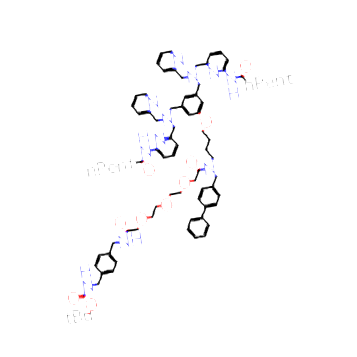 CCCCCC(=O)Nc1cccc(CN(Cc2cc(CN(Cc3ccccn3)Cc3cccc(NC(=O)CCCCC)n3)cc(OCCCCN(Cc3ccc(-c4ccccc4)cc3)C(=O)COCCOCCOCC(=O)NCc3ccc(CNC(=O)OC(C)(C)C)cc3)c2)Cc2ccccn2)n1